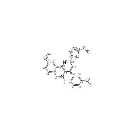 COc1ccc(CN(Cc2ccc(OC)cc2)c2ccc(-c3nnc(CCl)o3)nn2)cc1